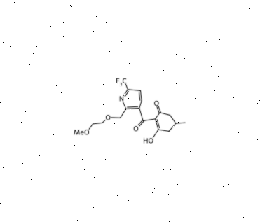 COCCOCc1nc(C(F)(F)F)ccc1C(=O)C1=C(O)CC(C)CC1=O